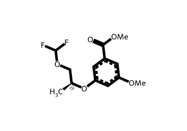 COC(=O)c1cc(OC)cc(O[C@@H](C)COC(F)F)c1